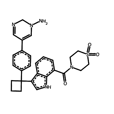 NN1C=C(c2ccc(C3(c4c[nH]c5c(C(=O)N6CCS(=O)(=O)CC6)cccc45)CCC3)cc2)C=NC1